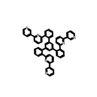 c1cncc(-c2cccc(-c3ccccc3-c3cc(-c4ccccc4-c4cccc(-c5cccnc5)n4)cc(-c4ccccc4-c4cccc(-c5cccnc5)n4)c3)n2)c1